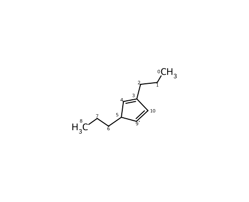 CCCC1=CC(CCC)[C]=C1